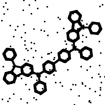 c1ccc(C2c3ccccc3-c3cc(N(c4ccccc4)c4ccc(-c5ccc(N(c6ccccc6)c6ccc7c8ccccc8n(-c8ccccc8)c7c6)cc5)cc4)ccc32)cc1